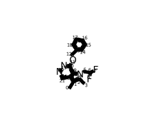 Cc1c(C)n(CC(F)F)c2c(OCc3ccccc3)nncc12